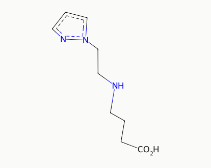 O=C(O)CCCNCCn1cccn1